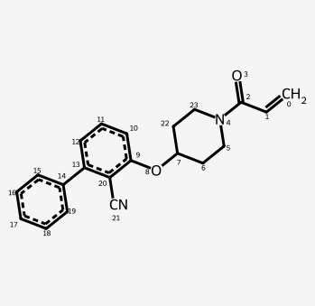 C=CC(=O)N1CCC(Oc2cccc(-c3ccccc3)c2C#N)CC1